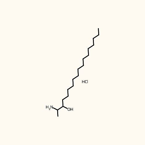 CCCCCCCCCCCCCCCC(O)C(C)N.Cl